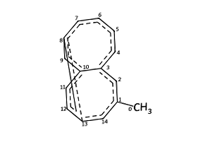 Cc1cc2ccccc3cc-2ccc3c1